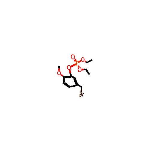 CCOP(=O)(OCC)Oc1cc(CBr)ccc1OC